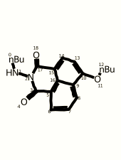 CCCCNN1C(=O)c2cccc3c(OCCCC)ccc(c23)C1=O